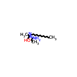 CCCCCCCCCCCc1nc(C)c(CO)n1C(N)CC